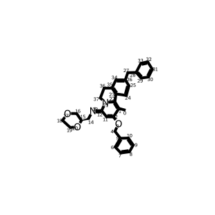 Cc1c(OCc2ccccc2)c/c(=N\C[C@@H]2COCCO2)n2c1-c1ccc(Cc3ccccc3)cc1CC2